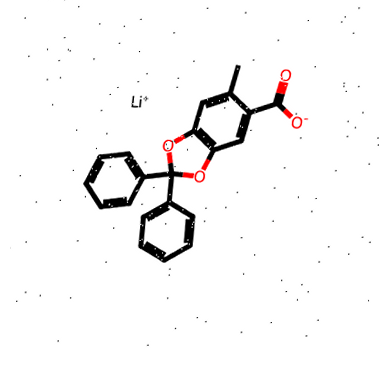 Cc1cc2c(cc1C(=O)[O-])OC(c1ccccc1)(c1ccccc1)O2.[Li+]